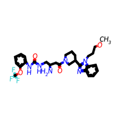 COCCCn1c(C2CCCN(C(=O)CC(N)CNC(=O)Nc3ccccc3OC(F)(F)F)C2)nc2ccccc21